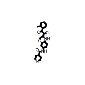 Cc1ccccc1C(=O)/C(Cl)=C(\C=O)Nc1ccc(NC(=O)c2ccncc2)cc1